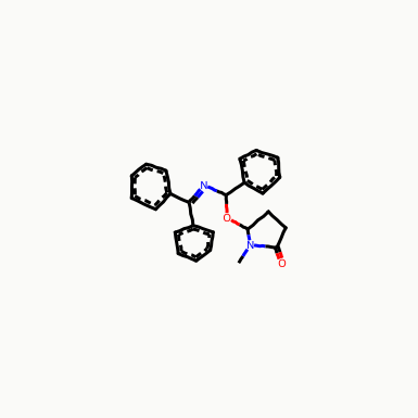 CN1C(=O)CCC1OC(N=C(c1ccccc1)c1ccccc1)c1ccccc1